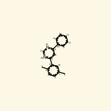 Cc1ccc(C)c(-c2cc(-c3ccccc3)ncn2)c1